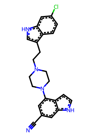 N#Cc1cc(N2CCN(CCc3c[nH]c4cc(Cl)ccc34)CC2)c2cc[nH]c2c1